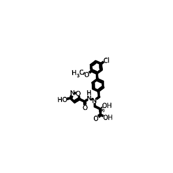 COc1ccc(Cl)cc1-c1ccc(CN(C[C@@H](O)C(=O)O)NC(=O)c2cc(O)no2)cc1